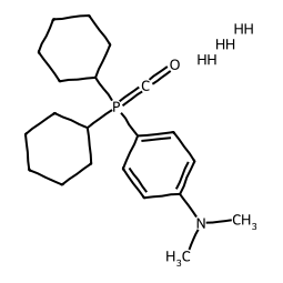 CN(C)c1ccc(P(=C=O)(C2CCCCC2)C2CCCCC2)cc1.[HH].[HH].[HH]